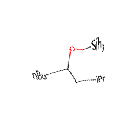 CCCCC(CC(C)C)O[SiH3]